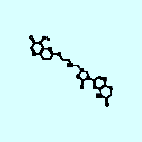 Cn1c(=O)cnc2ccc(OCCNC[C@@H]3CN(c4cnc5c(n4)NC(=O)CS5)C(=O)O3)nc21